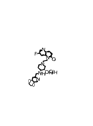 Cl.O=c1ccc2ncc(F)cc2n1CCN1CC[C@@H](NCc2cc3c(cn2)OCCO3)[C@@H](O)C1